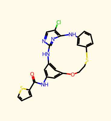 O=C(Nc1cc2cc(c1)OCCSc1cccc(c1)Nc1nc(ncc1Cl)N2)c1cccs1